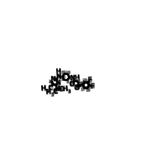 Cc1cnc(N[C@H]2CC[C@@H](NC(=O)C[S+]([O-])c3ccc(F)c(F)c3)CC2)nc1N(C)C